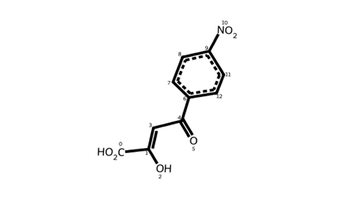 O=C(O)C(O)=CC(=O)c1ccc([N+](=O)[O-])cc1